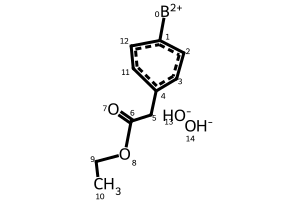 [B+2]c1ccc(CC(=O)OCC)cc1.[OH-].[OH-]